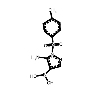 Cc1ccc(S(=O)(=O)n2ncc(B(O)O)c2N)cc1